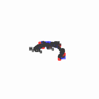 C[C@H]1CN(C(=O)CCCc2cccc3c2CN(C2CCC(=O)NC2=O)C3=O)CCN1c1ccc(Nc2cc(-c3ccnc(N4CCn5c(cc6c5CC(C)(C)C6)C4=O)c3CO)cn(C)c2=O)nc1